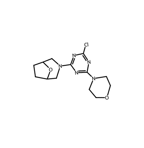 Clc1nc(N2CCOCC2)nc(N2CC3CCC(C2)O3)n1